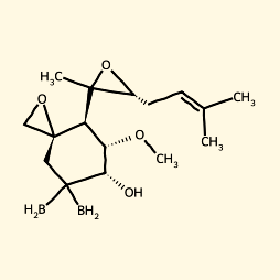 BC1(B)C[C@]2(CO2)[C@@H](C2(C)O[C@@H]2CC=C(C)C)[C@H](OC)[C@@H]1O